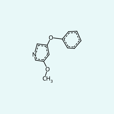 COc1cncc(Oc2ccccc2)c1